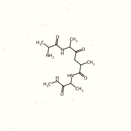 CNC(=O)C(C)NC(=O)C(C)CC(=O)C(C)NC(=O)C(C)N